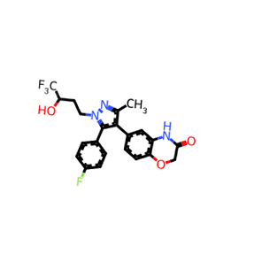 Cc1nn(CCC(O)C(F)(F)F)c(-c2ccc(F)cc2)c1-c1ccc2c(c1)NC(=O)CO2